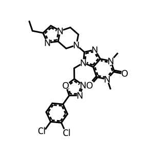 CCc1cn2c(n1)CN(c1nc3c(c(=O)n(C)c(=O)n3C)n1Cc1nnc(-c3ccc(Cl)c(Cl)c3)o1)CC2